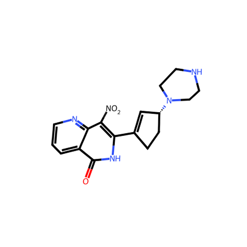 O=c1[nH]c(C2=C[C@H](N3CCNCC3)CC2)c([N+](=O)[O-])c2ncccc12